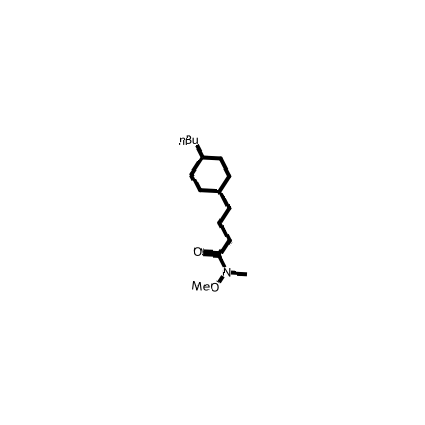 CCCCC1CCC(CCCC(=O)N(C)OC)CC1